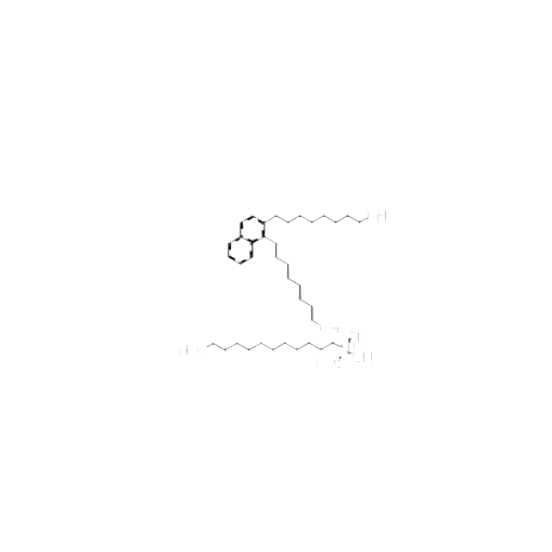 CCCCCCCCCCCC[N+](C)(C)C.CCCCCCCCCc1ccc2ccccc2c1CCCCCCCCC